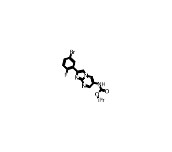 CC(C)OC(=O)Nc1cnc2nc(-c3cc(Br)ccc3F)cn2c1